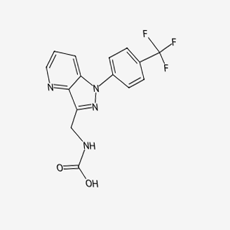 O=C(O)NCc1nn(-c2ccc(C(F)(F)F)cc2)c2cccnc12